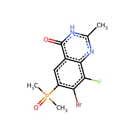 Cc1nc2c(F)c(Br)c(P(C)(C)=O)cc2c(=O)[nH]1